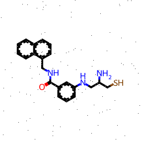 NC(CS)CNc1cccc(C(=O)NCc2cccc3ccccc23)c1